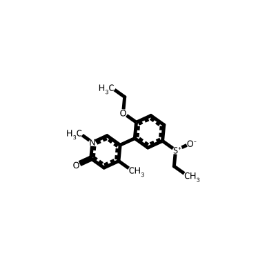 CCOc1ccc([S+]([O-])CC)cc1-c1cn(C)c(=O)cc1C